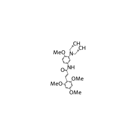 C#CCN(CC#C)c1cc(NC(=O)C=Cc2c(OC)cc(OC)cc2OC)ccc1OC